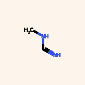 CNC=N